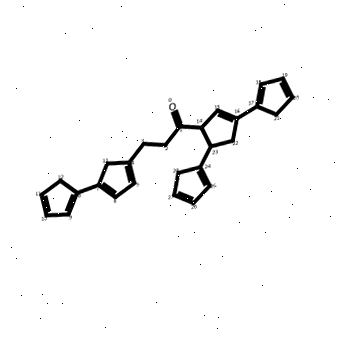 O=C(CCC1=CC=C(C2=CC=CC2)C1)C1C=C(C2=CC=CC2)CC1C1=CC=CC1